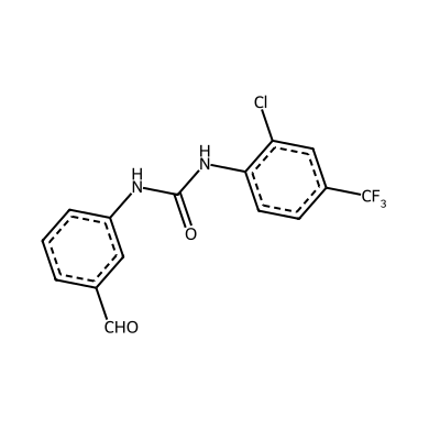 O=Cc1cccc(NC(=O)Nc2ccc(C(F)(F)F)cc2Cl)c1